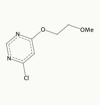 COCCOc1cc(Cl)ncn1